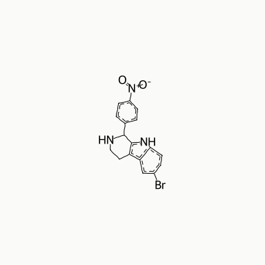 O=[N+]([O-])c1ccc(C2NCCc3c2[nH]c2ccc(Br)cc32)cc1